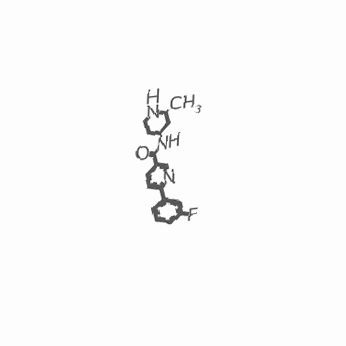 C[C@H]1C[C@@H](NC(=O)c2ccc(-c3cccc(F)c3)nc2)CCN1